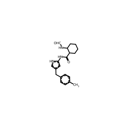 Cc1ccc(Cc2c[nH]c(NC(=O)C3CCCCC3NC=O)c2)cc1